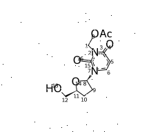 CC(=O)OCn1c(=O)ccn([C@H]2CC[C@@H](CO)O2)c1=O